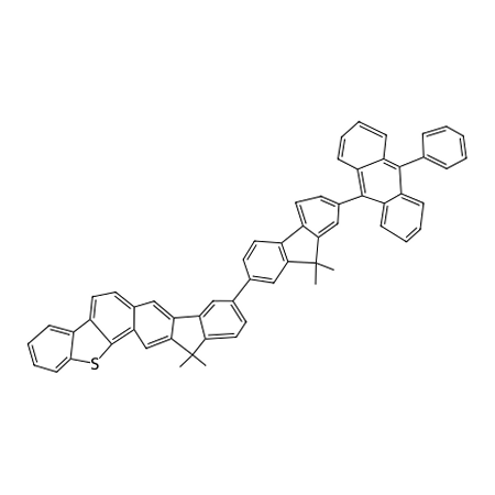 CC1(C)c2cc(-c3ccc4c(c3)-c3cc5ccc6c7ccccc7sc6c5cc3C4(C)C)ccc2-c2ccc(-c3c4ccccc4c(-c4ccccc4)c4ccccc34)cc21